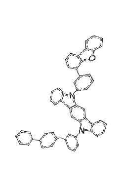 c1ccc(-c2ccc(-c3cccc(-n4c5ccccc5c5cc6c(cc54)c4ccccc4n6-c4cccc(-c5cccc6c5oc5ccccc56)c4)c3)cc2)cc1